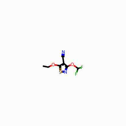 CCOc1snc(OC(F)F)c1C#N